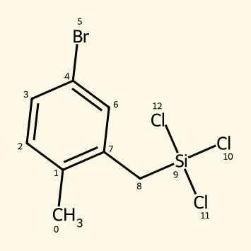 Cc1ccc(Br)cc1C[Si](Cl)(Cl)Cl